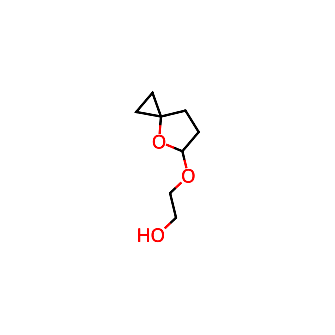 OCCOC1CCC2(CC2)O1